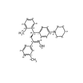 Cc1cc(C(C[C@H](c2ccc(N3CCCCC3)cc2)c2ccccc2C)=NO)ccn1